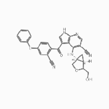 N#Cc1cc(Oc2ccccc2)ccc1C(=O)c1c[nH]c2ncc(C#N)c(N[C@@]34COC(CO)[C@@H]3C4)c12